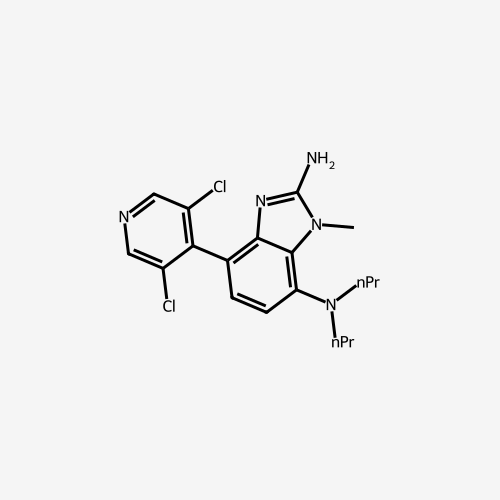 CCCN(CCC)c1ccc(-c2c(Cl)cncc2Cl)c2nc(N)n(C)c12